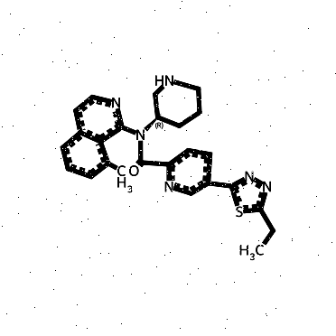 CCc1nnc(-c2ccc(C(=O)N(c3nccc4cccc(C)c34)[C@@H]3CCCNC3)nc2)s1